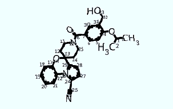 CC(C)Oc1ccc(C(=O)N2CCC3(CC2)Oc2ccccc2-n2c(C#N)ccc23)cc1CO